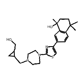 CC1(C)CCC(C)(O)c2cc(-c3csc(N4CCN(CC5CC5CO)CC4)n3)ccc21